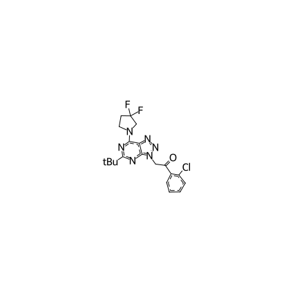 CC(C)(C)c1nc(N2CCC(F)(F)C2)c2nnn(CC(=O)c3ccccc3Cl)c2n1